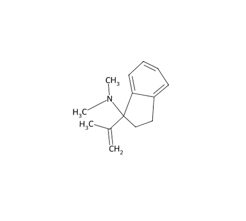 C=C(C)C1(N(C)C)CCc2ccccc21